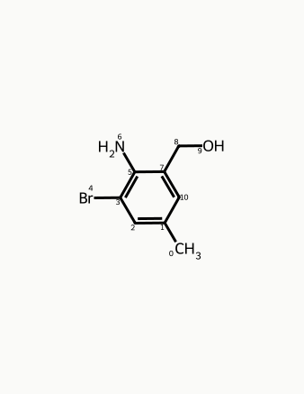 Cc1cc(Br)c(N)c(CO)c1